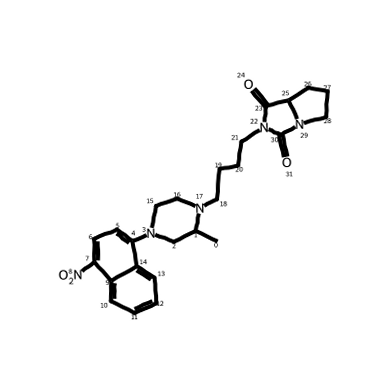 CC1CN(c2ccc([N+](=O)[O-])c3ccccc23)CCN1CCCCN1C(=O)C2CCCN2C1=O